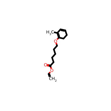 C=COC(=O)CCCCCOC1=C(C)C=CCC1